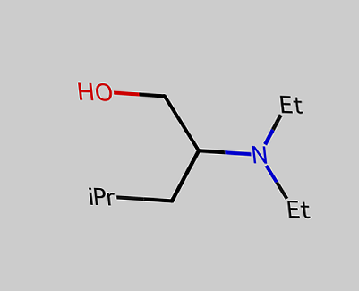 CCN(CC)C(CO)CC(C)C